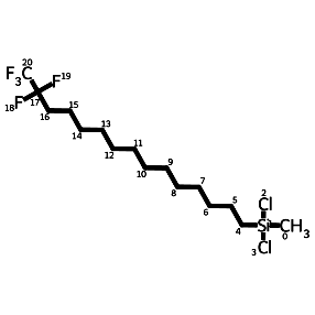 C[Si](Cl)(Cl)CCCCCCCCCCCCCC(F)(F)C(F)(F)F